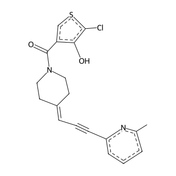 Cc1cccc(C#CC=C2CCN(C(=O)c3csc(Cl)c3O)CC2)n1